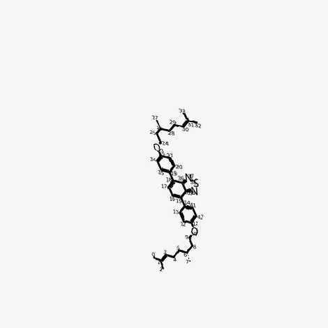 CC(C)=CCC[C@@H](C)CCOc1ccc(-c2ccc(-c3ccc(OCC[C@@H](C)CCC=C(C)C)cc3)c3nsnc23)cc1